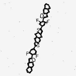 Fc1cc(-c2cc3cc4cc5sc(-c6cc(F)c(-c7cc8cc9ccccc9cc8o7)c(F)c6)cc5cc4cc3s2)cc(F)c1-c1cc2cc3ccccc3cc2o1